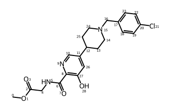 COC(=O)CNC(=O)c1ncc(C2CCN(Cc3ccc(Cl)cc3)CC2)cc1O